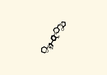 O=C1CCCN1CC1CCN(c2ccc(-c3cnn(C4CCCCO4)c3)cc2F)CC1